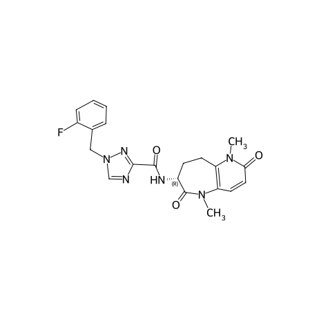 CN1C(=O)[C@H](NC(=O)c2ncn(Cc3ccccc3F)n2)CCc2c1ccc(=O)n2C